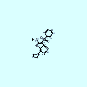 Nc1[nH]c2c(N3CCC3)ncnc2c1S(=O)(=O)c1ccccc1